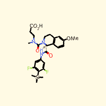 COc1ccc2c(c1)CCN(C(=O)N(C)CCC(=O)O)[C@H]2C(=O)Nc1cc(F)c([Si](C)(C)C)c(F)c1